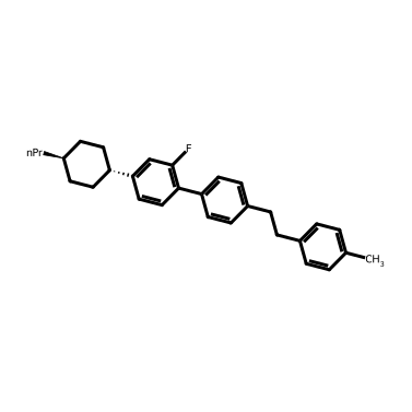 CCC[C@H]1CC[C@H](c2ccc(-c3ccc(CCc4ccc(C)cc4)cc3)c(F)c2)CC1